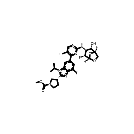 COC(=O)N1CC[C@@H](c2nc3c(F)cc(-c4nc(N[C@H]5[C@H](O)[C@@H]6CO[C@@H](O6)[C@H]5F)ncc4Cl)cc3n2C(C)C)C1